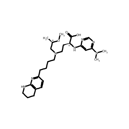 CO[C@H](C)CN(CCCCc1ccc2c(n1)NCCC2)CC[C@H](Nc1cc(N(C)C)ncn1)C(=O)O